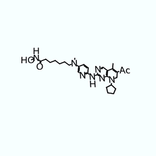 CC(=O)C1=C(C)c2cnc(Nc3ccc(N(C)CCCCCCC(=O)NO)cn3)nc2N(C2CCCC2)C1